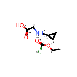 CC1CC1.CCOC(=O)Cl.NCC(=O)O